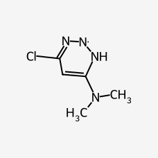 CN(C)C1=CC(Cl)=N[N]N1